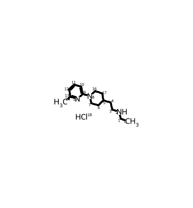 CCNCCC1CCN(c2cccc(C)n2)CC1.Cl